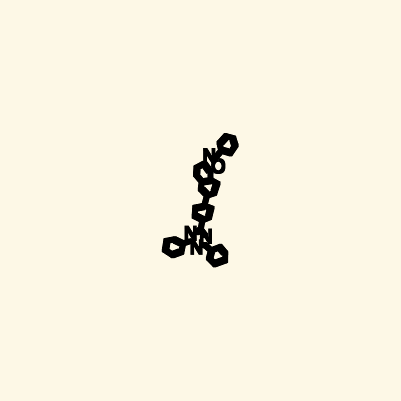 c1ccc(-c2nc(-c3ccccc3)nc(-c3ccc(-c4ccc5c(ccc6nc(-c7ccccc7)oc65)c4)cc3)n2)cc1